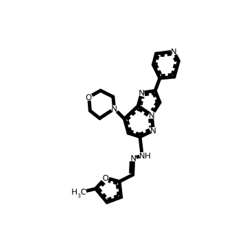 Cc1ccc(/C=N/Nc2cc(N3CCOCC3)c3nc(-c4ccncc4)cn3n2)o1